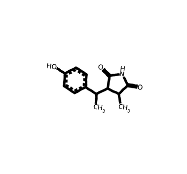 CC1C(=O)NC(=O)C1C(C)c1ccc(O)cc1